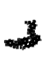 CC(C)c1cc(Cl)cc(C(C)CC2Cc3cc4c(c(NC(=O)NS(=O)(=O)C5CCC(=O)N(C)C5)c3C2)CCC4)c1NC(=O)NS(=O)(=O)C1CCC(=O)NC1